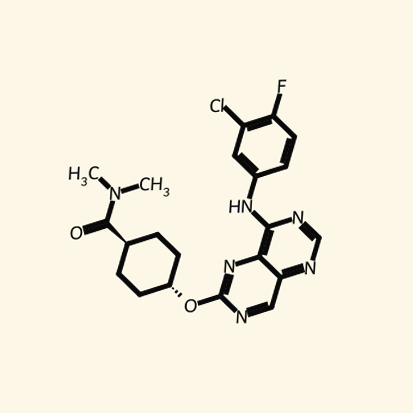 CN(C)C(=O)[C@H]1CC[C@H](Oc2ncc3ncnc(Nc4ccc(F)c(Cl)c4)c3n2)CC1